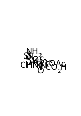 CC(=O)OCC1=C(C(=O)O)N2C(=O)C(NC(=O)C(=CCl)c3csc(N)n3)[C@@H]2SC1